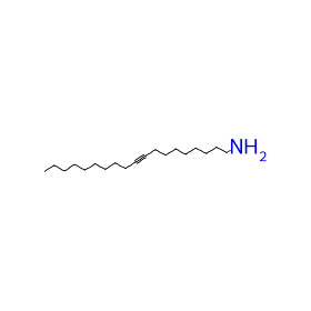 CCCCCCCCCC#CCCCCCCCCN